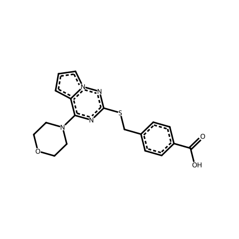 O=C(O)c1ccc(CSc2nc(N3CCOCC3)c3cccn3n2)cc1